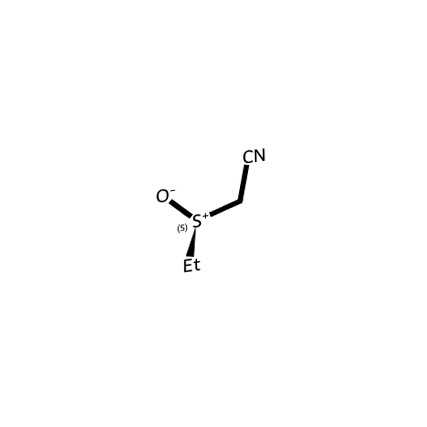 CC[S@@+]([O-])CC#N